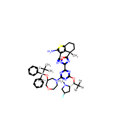 [2H]C([2H])([2H])C(Oc1nc(-c2noc([C@@]3(C)CCCc4sc(N)c(C#N)c43)n2)nc(N2CCOC[C@@](C)(O[Si](c3ccccc3)(c3ccccc3)C(C)(C)C)C2)n1)[C@@H]1C[C@@H](F)CN1C